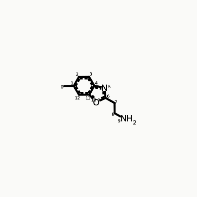 Cc1ccc2nc(CCN)oc2c1